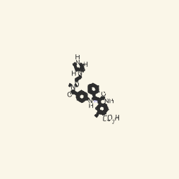 Cc1cc2c(cc1C(=O)O)NC(=O)/C2=C(/Nc1ccc(C(=O)N(C)OCCN2C[C@@H]3C[C@H]2CN3)cc1)c1ccccc1